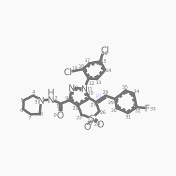 O=C(NN1CCCCC1)c1nn(-c2ccc(Cl)cc2Cl)c2c1CS(=O)(=O)C/C2=C\c1ccc(F)cc1